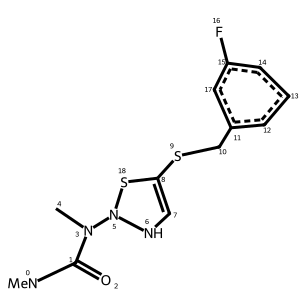 CNC(=O)N(C)N1NC=C(SCc2cccc(F)c2)S1